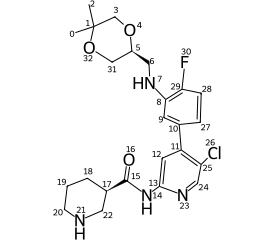 CC1(C)CO[C@@H](CNc2cc(-c3cc(NC(=O)[C@@H]4CCCNC4)ncc3Cl)ccc2F)CO1